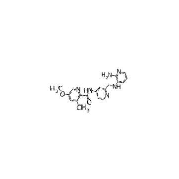 COc1cnc(C(=O)Nc2ccnc(CNc3cccnc3N)c2)c(C)c1